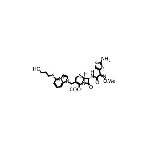 CO/N=C(\C(=O)N[C@@H]1C(=O)N2C(C(=O)[O-])=C(Cn3cc[n+]4c(SCCCO)cccc34)CS[C@@H]12)c1csc(N)n1